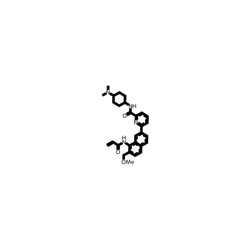 C=CC(=O)Nc1c(COC)ccc2ccc(-c3cccc(C(=O)NC4CCC(N(C)C)CC4)n3)cc12